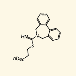 CCCCCCCCCCCCSC(=N)N1Cc2ccccc2-c2ccccc2C1